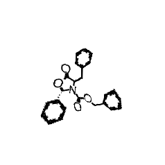 O=C1O[C@@H](c2ccccc2)N(C(=O)OCc2ccccc2)C1Cc1ccccc1